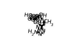 C[C@@H](Cc1cnn2c(N)ncnc12)OCP(=O)(O)OP(=O)(O)OP(=O)(O)O